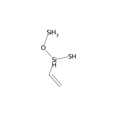 C=C[SiH](S)O[SiH3]